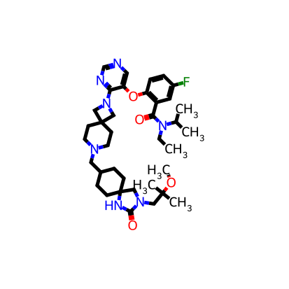 CCN(C(=O)c1cc(F)ccc1Oc1cncnc1N1CC2(CCN(CC3CCC4(CC3)CN(CC(C)(C)OC)C(=O)N4)CC2)C1)C(C)C